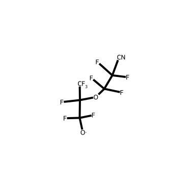 N#CC(F)(F)C(F)(F)OC(F)(C([O])(F)F)C(F)(F)F